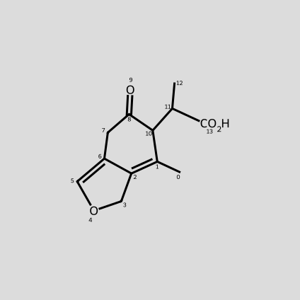 CC1=C2COC=C2CC(=O)C1C(C)C(=O)O